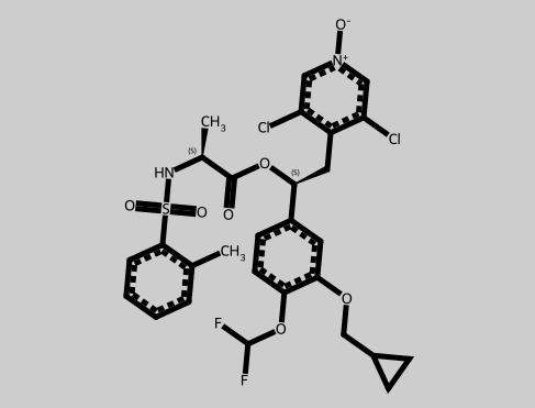 Cc1ccccc1S(=O)(=O)N[C@@H](C)C(=O)O[C@@H](Cc1c(Cl)c[n+]([O-])cc1Cl)c1ccc(OC(F)F)c(OCC2CC2)c1